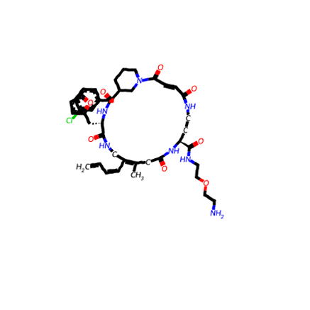 C=C/C=C\C1=C(/C)CC(=O)N[C@H](C(=O)NCCOCCN)CCNC(=O)/C=C/C(=O)N2CCC[C@@](Cc3cccc(Cl)c3)(C2)C(=O)N[C@@H](Cc2ccco2)C(=O)NC1